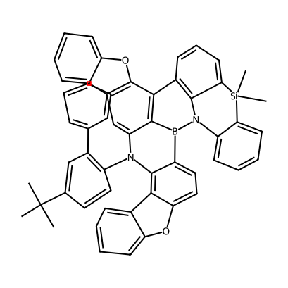 CC(C)(C)c1ccc(N2c3cc4c(oc5ccccc54)c4c3B(c3ccc5oc6ccccc6c5c32)N2c3ccccc3[Si](C)(C)c3cccc-4c32)c(-c2ccccc2)c1